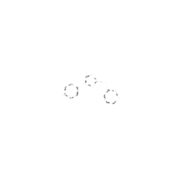 CN(c1cccnc1)c1nc(-c2ccc(F)cc2)cs1